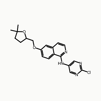 CC1(C)CCC(COc2ccc3c(Nc4cnc(Cl)nc4)nccc3c2)O1